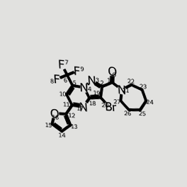 O=C(c1nn2c(C(F)(F)F)cc(-c3ccco3)nc2c1Br)N1CCCCCC1